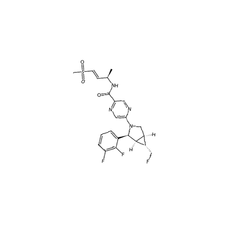 C[C@H](/C=C/S(C)(=O)=O)NC(=O)c1cnc(N2C[C@H]3[C@H](CF)[C@H]3[C@H]2c2cccc(F)c2F)cn1